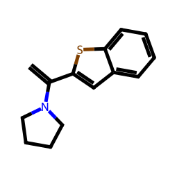 C=C(c1cc2ccccc2s1)N1CCCC1